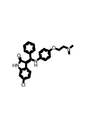 CN(C)CCOc1ccc(NC(=C2C(=O)Nc3cc(Cl)ccc32)c2ccccc2)cc1